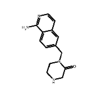 Nc1nccc2cc(CN3CCNCC3=O)ccc12